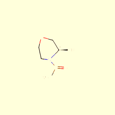 COS(=O)N1CCOC[C@H]1C